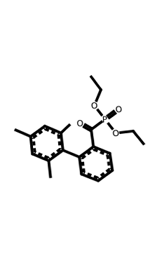 CCOP(=O)(OCC)C(=O)c1ccccc1-c1c(C)cc(C)cc1C